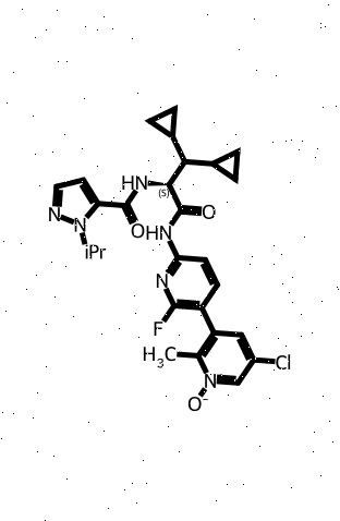 Cc1c(-c2ccc(NC(=O)[C@@H](NC(=O)c3ccnn3C(C)C)C(C3CC3)C3CC3)nc2F)cc(Cl)c[n+]1[O-]